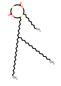 CCCCCCCCCCCCCCCCCCC(CCCCCCCCCCCCCCCCCC)CCCCCCCCC1CCOC(=O)CCSCCC(=O)OCCC(CCCCCCCCC)S1